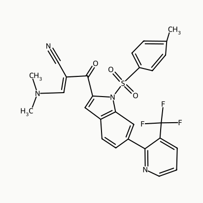 Cc1ccc(S(=O)(=O)n2c(C(=O)C(C#N)=CN(C)C)cc3ccc(-c4ncccc4C(F)(F)F)cc32)cc1